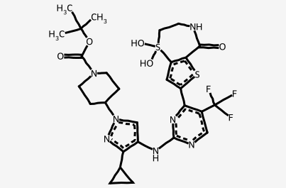 CC(C)(C)OC(=O)N1CCC(n2cc(Nc3ncc(C(F)(F)F)c(-c4cc5c(s4)C(=O)NCCS5(O)O)n3)c(C3CC3)n2)CC1